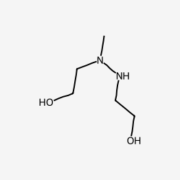 CN(CCO)NCCO